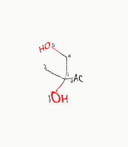 CC(=O)C(C)(O)CO